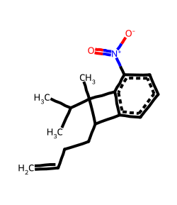 C=CCCC1c2cccc([N+](=O)[O-])c2C1(C)C(C)C